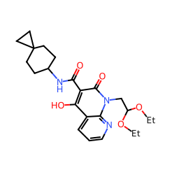 CCOC(Cn1c(=O)c(C(=O)NC2CCC3(CC2)CC3)c(O)c2cccnc21)OCC